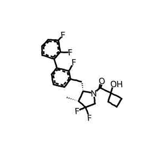 C[C@@H]1[C@H](Cc2cccc(-c3cccc(F)c3F)c2F)N(C(=O)C2(O)CCC2)CC1(F)F